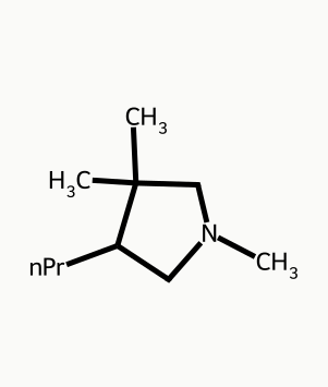 CCCC1CN(C)CC1(C)C